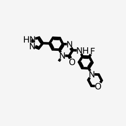 Cn1c(=O)c(Nc2ccc(N3CCOCC3)cc2F)nc2ccc(-c3cn[nH]c3)cc21